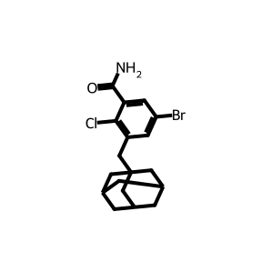 NC(=O)c1cc(Br)cc(CC23CC4CC(CC(C4)C2)C3)c1Cl